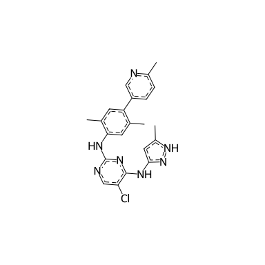 Cc1ccc(-c2cc(C)c(Nc3ncc(Cl)c(Nc4cc(C)[nH]n4)n3)cc2C)cn1